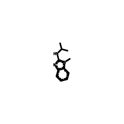 CC(C)Nc1nc2ccccc2n1C